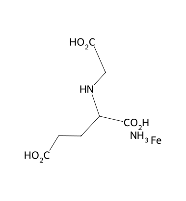 N.O=C(O)CCC(NCC(=O)O)C(=O)O.[Fe]